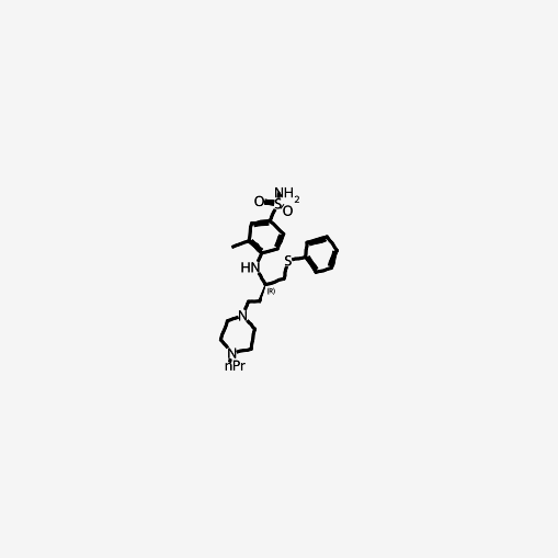 CCCN1CCN(CC[C@H](CSc2ccccc2)Nc2ccc(S(N)(=O)=O)cc2C)CC1